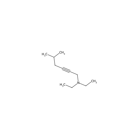 CCN(CC)CC#CCC(C)C